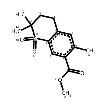 COC(=O)c1cc2c(cc1C)CCC(C)(C)S2(=O)=O